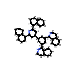 c1ccc2c(-c3cc(-c4cc(-c5nccc6ccccc56)cc(-c5nccc6ccccc56)c4)cc(-c4cccc5ccccc45)n3)cccc2c1